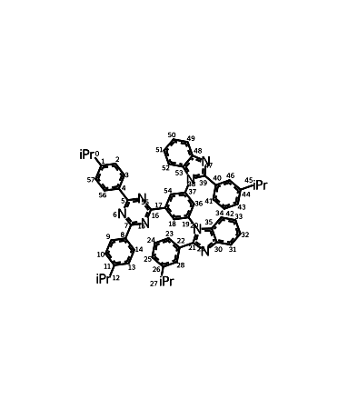 CC(C)c1ccc(-c2nc(-c3ccc(C(C)C)cc3)nc(-c3cc(-n4c(-c5cccc(C(C)C)c5)nc5ccccc54)cc(-n4c(-c5cccc(C(C)C)c5)nc5ccccc54)c3)n2)cc1